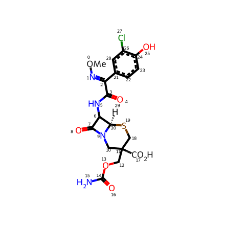 CON=C(C(=O)NC1C(=O)N2CC(COC(N)=O)(C(=O)O)CS[C@H]12)c1ccc(O)c(Cl)c1